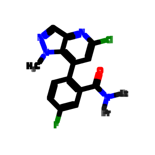 CCN(C(=O)c1cc(F)ccc1-c1cc(Cl)nc2cnn(C)c12)C(C)C